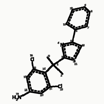 CC(C)(c1nc(-c2ccccc2)cs1)c1c(Cl)cc(N)cc1Cl